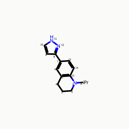 CC(C)N1CCCc2cc(-c3cc[nH]n3)ccc21